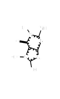 Cc1nc2nc(N)n(C(C)(C)C)c(=O)c2n1C